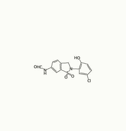 O=CNc1ccc2c(c1)S(=O)(=O)N(c1cc(Cl)ccc1O)C2